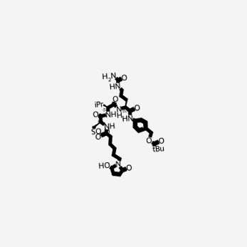 CC(C)[C@H](NC(=O)[C@H](CS(=O)(=O)O)NC(=O)CCCCCN1C(=O)C=CC1O)C(=O)N[C@@H](CCCNC(N)=O)C(=O)Nc1ccc(COC(=O)C(C)(C)C)cc1